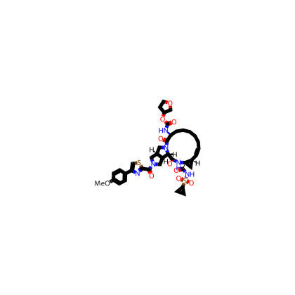 COc1ccc(-c2csc(C(=O)N3C[C@H]4CN5C(=O)[C@@H](NC(=O)OC6CCOC6)CCCCC/C=C\[C@H]6C[C@@]6(C(=O)NS(=O)(=O)C6CC6)NC(=O)[C@@H]5[C@H]4C3)n2)cc1